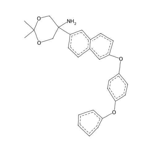 CC1(C)OCC(N)(c2ccc3cc(Oc4ccc(Oc5ccccc5)cc4)ccc3c2)CO1